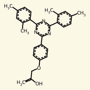 C=C(O)COc1ccc(-c2nc(-c3ccc(C)cc3C)nc(-c3ccc(C)cc3C)n2)cc1